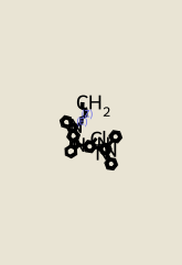 C=C/C=C\C=C\n1c2ccccc2c2cc3c4c(n(-c5ccc(-c6nc(-c7ccccc7)nc(-c7ccccc7)n6)c(Cl)c5)c3cc21)C=CCC4